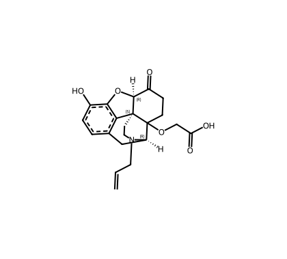 C=CCN1CC[C@]23c4c5ccc(O)c4O[C@H]2C(=O)CCC3(OCC(=O)O)[C@H]1C5